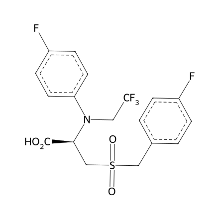 O=C(O)[C@H](CS(=O)(=O)Cc1ccc(F)cc1)N(CC(F)(F)F)c1ccc(F)cc1